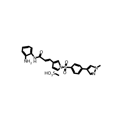 CS(=O)(=O)O.Cn1cc(-c2ccc(S(=O)(=O)n3ccc(/C=C/C(=O)Nc4ccccc4N)c3)cc2)cn1